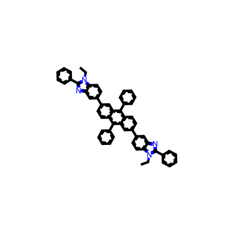 CCn1c(-c2ccccc2)nc2cc(-c3ccc4c(-c5ccccc5)c5cc(-c6ccc7c(c6)nc(-c6ccccc6)n7CC)ccc5c(-c5ccccc5)c4c3)ccc21